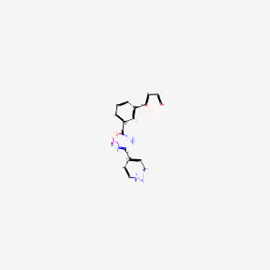 c1cc(-c2ccco2)cc(-c2nc(-c3ccncc3)no2)c1